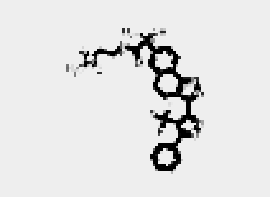 C[C@](O)(C(=O)NCCS(C)(=O)=O)c1ccc2c(c1)CCc1c-2noc1-c1noc(-c2ccccc2)c1C(F)(F)F